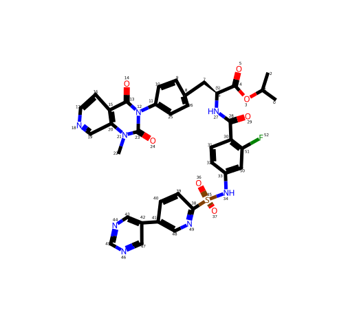 CC(C)OC(=O)[C@H](Cc1ccc(-n2c(=O)c3ccncc3n(C)c2=O)cc1)NC(=O)c1ccc(NS(=O)(=O)c2ccc(-c3cncnc3)cn2)cc1F